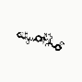 COc1cccc(CCC(=O)Nc2sc3c(c2N)CCC(COC(=O)NCC2CCCO2)C3)c1